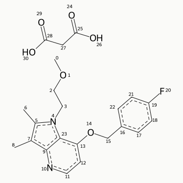 COCCn1c(C)c(C)c2nccc(OCc3ccc(F)cc3)c21.O=C(O)CC(=O)O